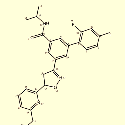 Cc1ccc(-c2cc(C(=O)NC(C)C)cc(C3=NOC(c4cccc(CO)n4)C3)c2)c(F)c1